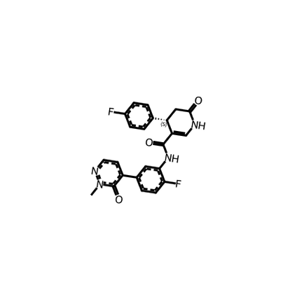 Cn1nccc(-c2ccc(F)c(NC(=O)C3=CNC(=O)C[C@H]3c3ccc(F)cc3)c2)c1=O